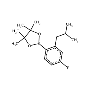 CC(C)Cc1cc(F)ccc1B1OC(C)(C)C(C)(C)O1